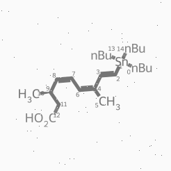 CCC[CH2][Sn](/[CH]=C/C(C)=C\C=C/[C@H](C)CC(=O)O)([CH2]CCC)[CH2]CCC